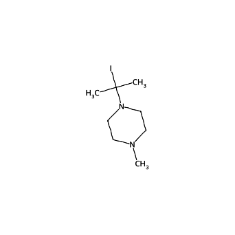 CN1CCN(C(C)(C)I)CC1